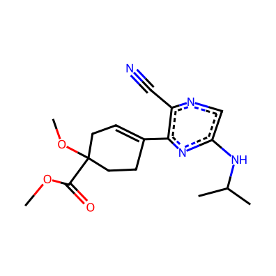 COC(=O)C1(OC)CC=C(c2nc(NC(C)C)cnc2C#N)CC1